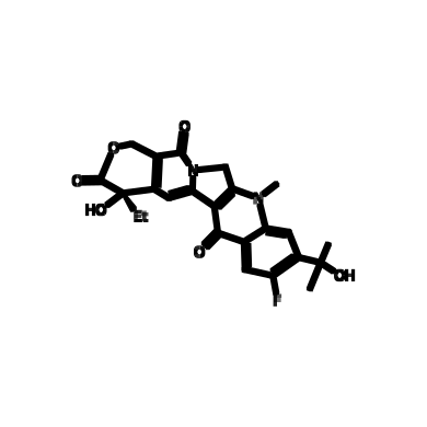 CC[C@@]1(O)C(=O)OCc2c1cc1n(c2=O)Cc2c-1c(=O)c1cc(F)c(C(C)(C)O)cc1n2C